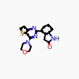 O=C1Cc2c(cccc2-c2nc(N3CCOCC3)c3sccc3n2)N1